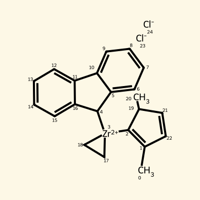 CC1=[C]([Zr+2]2([CH]3c4ccccc4-c4ccccc43)[CH2][CH2]2)C(C)C=C1.[Cl-].[Cl-]